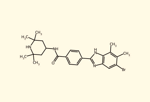 Cc1c(Br)cc2nc(-c3ccc(C(=O)NC4CC(C)(C)NC(C)(C)C4)cc3)[nH]c2c1C